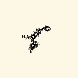 COc1cc(/C=C2/SC(NCCN3CCOCC3)=NC2=O)ccc1OCc1ccc(C(F)(F)F)cc1C(F)(F)F